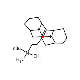 CCCC[N+](C)(C)CCC(B1C2CCCC1CCC2)B1C2CCCC1CCC2